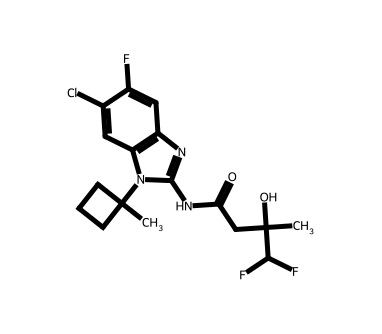 CC(O)(CC(=O)Nc1nc2cc(F)c(Cl)cc2n1C1(C)CCC1)C(F)F